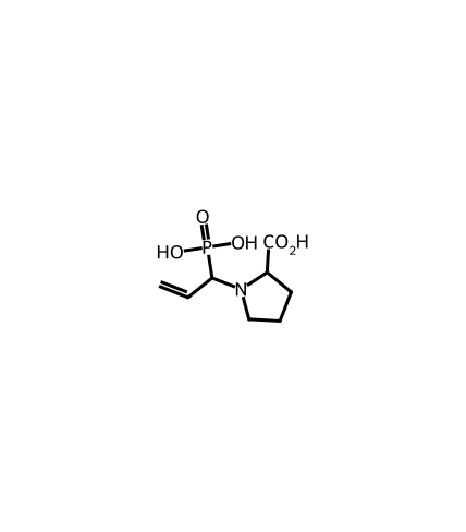 C=CC(N1CCCC1C(=O)O)P(=O)(O)O